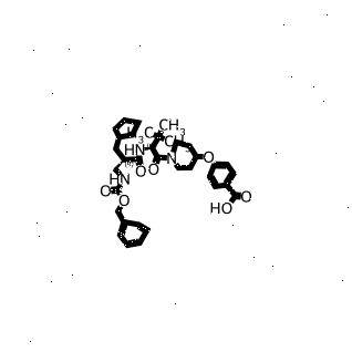 CC(C)(C)[C@H](NC(=O)[C@@H](CNC(=O)OCc1ccccc1)CC1CCCC1)C(=O)N1CCC(Oc2ccc(C(=O)O)cc2)CC1